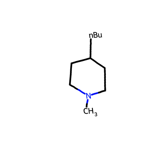 [CH2]CCCC1CCN(C)CC1